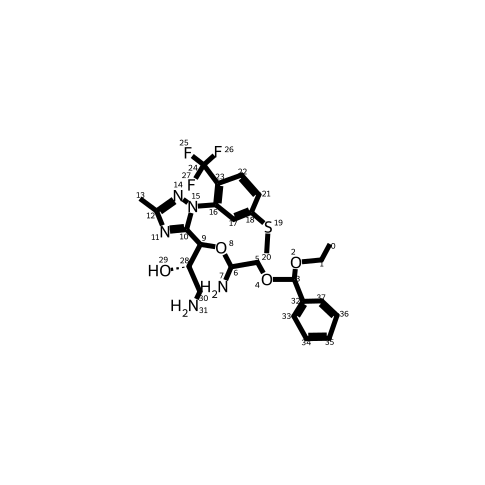 CCOC(OCC(N)OC(c1nc(C)nn1-c1cc(SC)ccc1C(F)(F)F)[C@@H](O)CN)c1ccccc1